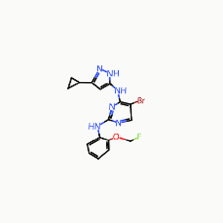 FCOc1ccccc1Nc1ncc(Br)c(Nc2cc(C3CC3)n[nH]2)n1